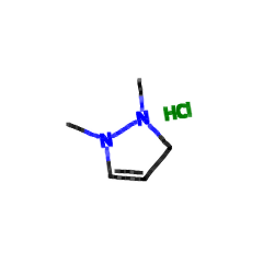 CN1C=CCN1C.Cl